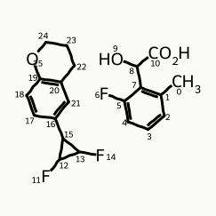 Cc1cccc(F)c1C(O)C(=O)O.FC1C(F)C1c1ccc2c(c1)CCCO2